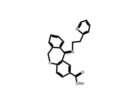 COC(=O)c1ccc2c(c1)/C(=N/CCc1ccccn1)c1ccccc1CO2